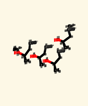 C[C@@H](O)CC(=O)[O-].C[C@@H](O)CC(=O)[O-].C[C@@H](O)CC(=O)[O-].C[C@@H](O)CC(=O)[O-].[Ca+2].[Mg+2]